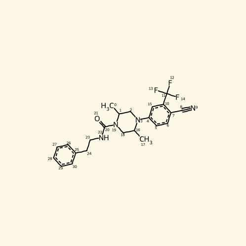 CC1CN(c2ccc(C#N)c(C(F)(F)F)c2)C(C)CN1C(=O)NCCc1ccccc1